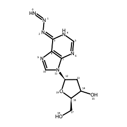 N=N/N=c1\[nH]cnc2c1ncn2[C@H]1CC(O)[C@@H](CO)O1